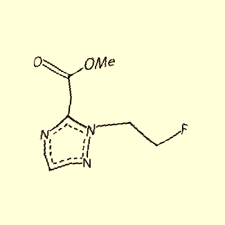 COC(=O)c1ncnn1CCF